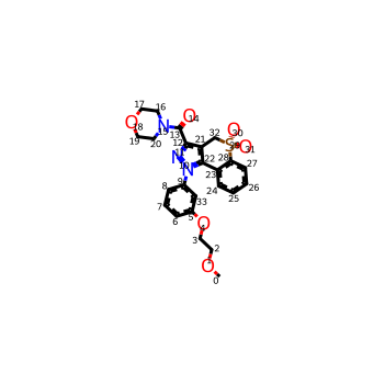 COCCOc1cccc(-n2nc(C(=O)N3CCOCC3)c3c2-c2ccccc2S(=O)(=O)C3)c1